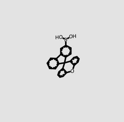 OB(O)c1ccc2c(c1)-c1ccccc1C21c2ccccc2Oc2ccccc21